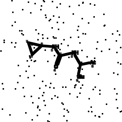 CC(=O)C(NC(=O)NC1CC1)C(C)(C)C